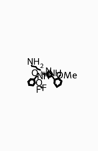 COc1ccccc1-c1cc([C@@H](CCCCN)NC(=O)c2ccccc2OC(F)F)n[nH]1